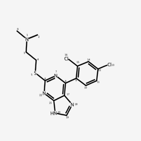 CN(C)CCSc1nc(-c2ccc(Cl)cc2Cl)c2nc[nH]c2n1